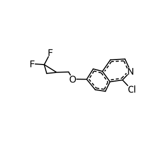 FC1(F)CC1COc1ccc2c(Cl)nccc2c1